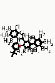 B=C(c1c(B)c(-c2c(B)c(B)c(B)c(B)c2B)c(B)c(B)c1SC)N(c1ccc(C(C)(C)C)cc1)c1c(B)c(B)c(B)c(Cl)c1Cl